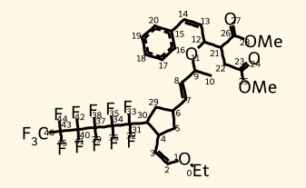 CCO/C=C\C1CC(/C=C/C(C)OC(/C=C\c2ccccc2)C(CC(=O)OC)C(=O)OC)CC1C(F)(F)C(F)(F)C(F)(F)C(F)(F)C(F)(F)C(F)(F)F